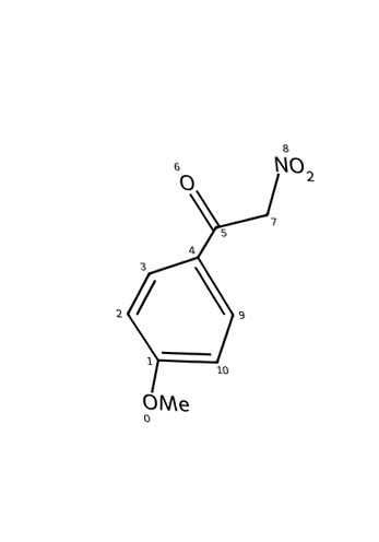 COc1ccc(C(=O)C[N+](=O)[O-])cc1